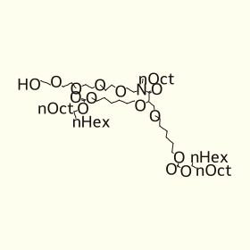 CCCCCCCCC(CCCCCC)OC(=O)OCCCCCCOCC(OCCCCCCOC(=O)OC(CCCCCC)CCCCCCCC)C(=O)N(CCCCCCCC)CCOCCOCCOCCOCCO